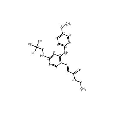 CCOC(=O)/C=C/c1cnc(NCC(F)(F)F)nc1Nc1ccc(OC)cc1